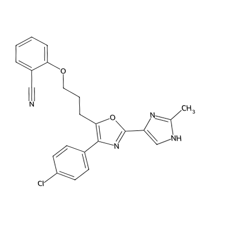 Cc1nc(-c2nc(-c3ccc(Cl)cc3)c(CCCOc3ccccc3C#N)o2)c[nH]1